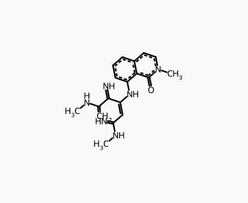 C=C(NC)C(=N)/C(=C\C(=N)NC)Nc1cccc2ccn(C)c(=O)c12